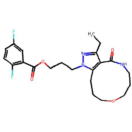 CCc1nn(CCCOC(=O)c2cc(F)ccc2F)c2c1C(=O)NCCCOCCC2